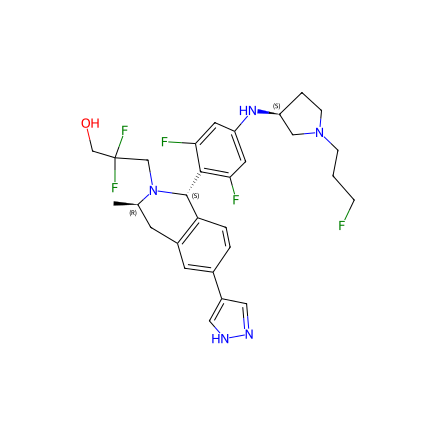 C[C@@H]1Cc2cc(-c3cn[nH]c3)ccc2[C@@H](c2c(F)cc(N[C@H]3CCN(CCCF)C3)cc2F)N1CC(F)(F)CO